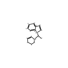 CC(N1C=CCCC1)n1ccc2ccccc21